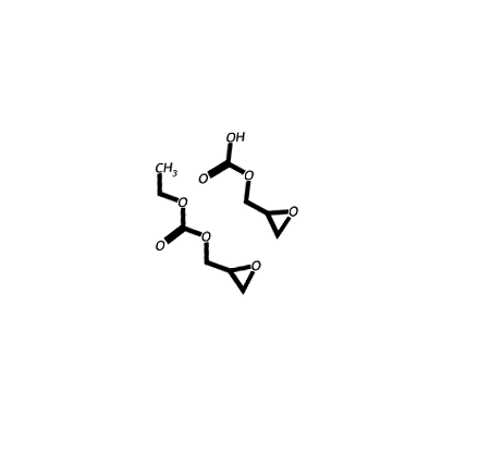 CCOC(=O)OCC1CO1.O=C(O)OCC1CO1